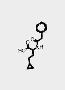 O=C(Cc1ccccc1)NC(CCC1CC1)C(=O)O